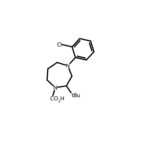 CC(C)(C)C1CN(c2ccccc2Cl)CCCN1C(=O)O